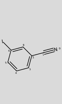 N#Cc1cc[c]c(I)c1